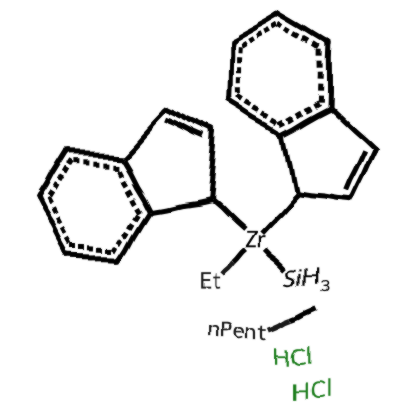 CCCCCC.C[CH2][Zr]([SiH3])([CH]1C=Cc2ccccc21)[CH]1C=Cc2ccccc21.Cl.Cl